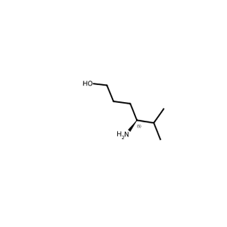 CC(C)[C@@H](N)CCCO